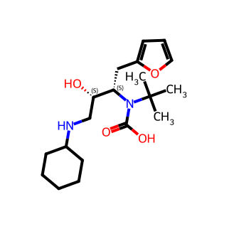 CC(C)(C)N(C(=O)O)[C@@H](Cc1ccco1)[C@@H](O)CNC1CCCCC1